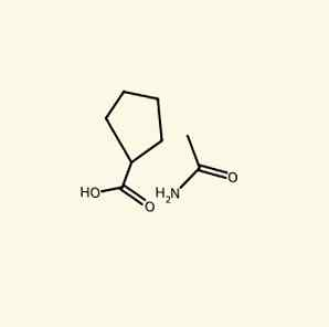 CC(N)=O.O=C(O)C1CCCC1